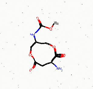 CC(C)(C)OC(=O)NC1COC(=O)CC(N)C(=O)OC1